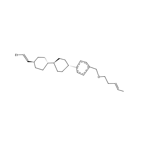 CC=CCCOCc1ccc([C@H]2CC[C@H]([C@H]3CC[C@H](C=CCC)CC3)CC2)cc1